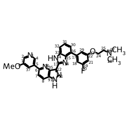 COc1cncc(-c2ccc3[nH]nc(-c4nc5c(-c6cc(F)cc(OCCN(C)C)c6)cccc5[nH]4)c3n2)c1